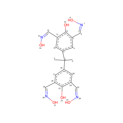 CC(C)(c1cc(/C=N\O)c(O)c(/C=N\O)c1)c1cc(/C=N\O)c(O)c(/C=N\O)c1